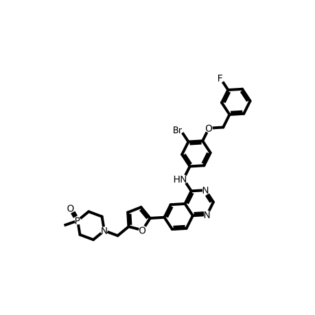 CP1(=O)CCN(Cc2ccc(-c3ccc4ncnc(Nc5ccc(OCc6cccc(F)c6)c(Br)c5)c4c3)o2)CC1